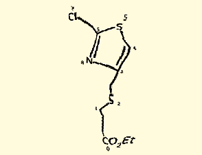 CCOC(=O)CSc1csc(Cl)n1